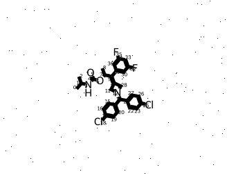 CC(C)NC(=O)OC(C)C(=C1CN(C(c2ccc(Cl)cc2)c2ccc(Cl)cc2)C1)c1cc(F)cc(F)c1